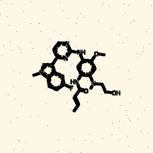 C/C=C/C(=O)Nc1cc(Nc2nccc(-c3cn(C)c4ccc(F)cc34)n2)c(OC)cc1N(C)CCO